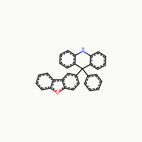 c1ccc(C2(c3ccc4oc5ccccc5c4c3)c3ccccc3Nc3ccccc32)cc1